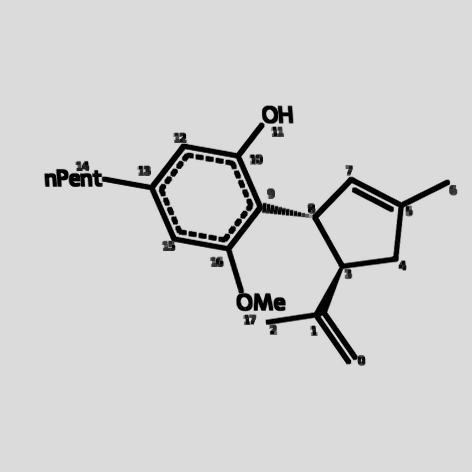 C=C(C)[C@@H]1CC(C)=C[C@H]1c1c(O)cc(CCCCC)cc1OC